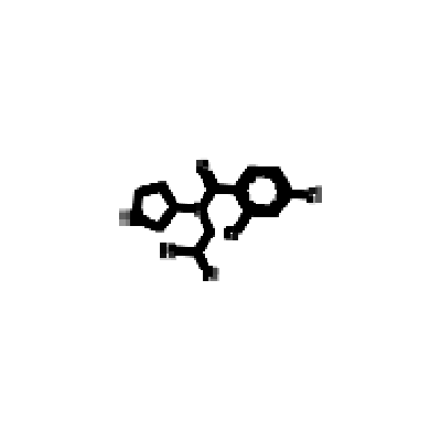 CCC(CC)CN(C(=O)c1ccc(Cl)cc1Cl)C1CCNC1